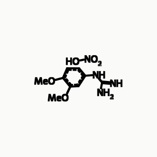 COc1ccc(NC(=N)N)cc1OC.O=[N+]([O-])O